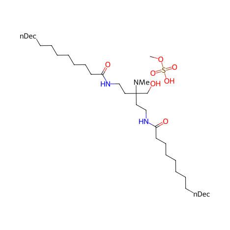 CCCCCCCCCCCCCCCCCC(=O)NCCC(CO)(CCNC(=O)CCCCCCCCCCCCCCCCC)NC.COS(=O)(=O)O